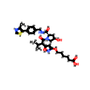 Cc1ncsc1-c1ccc(CNC(=O)[C@@H]2C[C@@H](O)CN2C(=O)C(c2cc(OCCCCCC(=O)O)no2)C(C)C)cc1